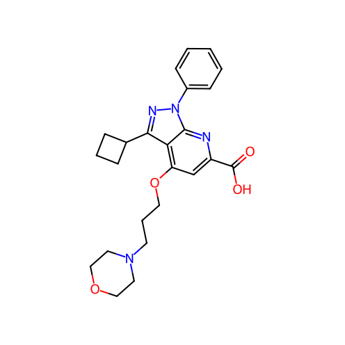 O=C(O)c1cc(OCCCN2CCOCC2)c2c(C3CCC3)nn(-c3ccccc3)c2n1